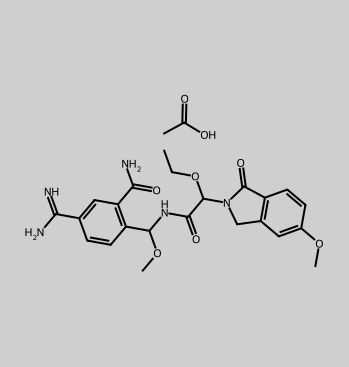 CC(=O)O.CCOC(C(=O)NC(OC)c1ccc(C(=N)N)cc1C(N)=O)N1Cc2cc(OC)ccc2C1=O